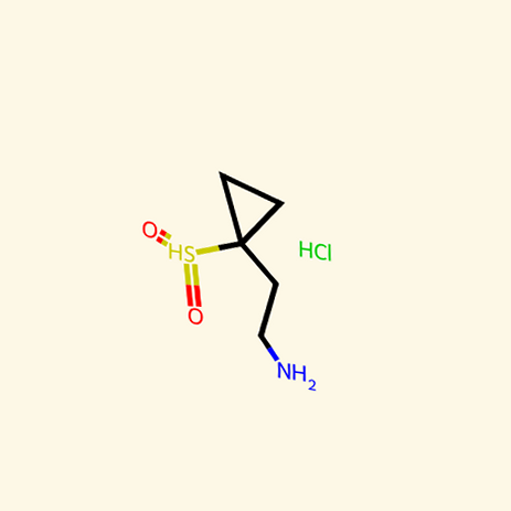 Cl.NCCC1([SH](=O)=O)CC1